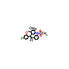 CC/C(=C1/c2ccc(OC)cc2COc2cc(F)ccc21)c1cccc(NS(C)(=O)=O)c1